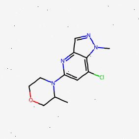 CC1COCCN1c1cc(Cl)c2c(cnn2C)n1